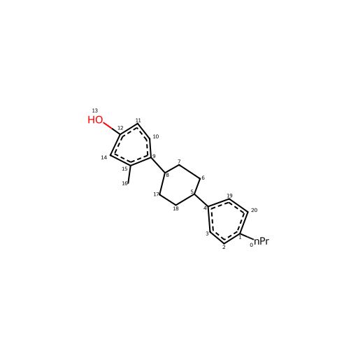 CCCc1ccc(C2CCC(c3ccc(O)cc3C)CC2)cc1